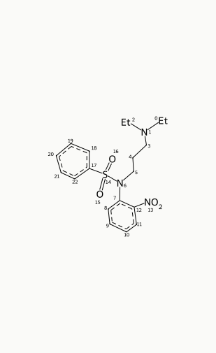 CCN(CC)CCCN(c1ccccc1[N+](=O)[O-])S(=O)(=O)c1ccccc1